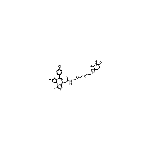 Cc1sc2c(c1C)C(c1ccc(Cl)cc1)=N[C@@H](CC(=O)NCCOCCOCCN1CC3(CCC(=O)NC3=O)C1)c1nnc(C)n1-2